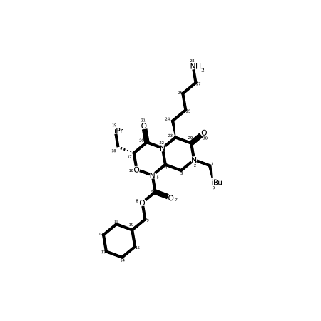 CC[C@H](C)CN1CC2N(C(=O)OCC3CCCCC3)O[C@H](CC(C)C)C(=O)N2[C@@H](CCCCN)C1=O